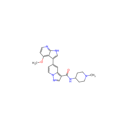 COc1ccnc2[nH]cc(-c3ccn4ncc(C(=O)NC5CCN(C)CC5)c4c3)c12